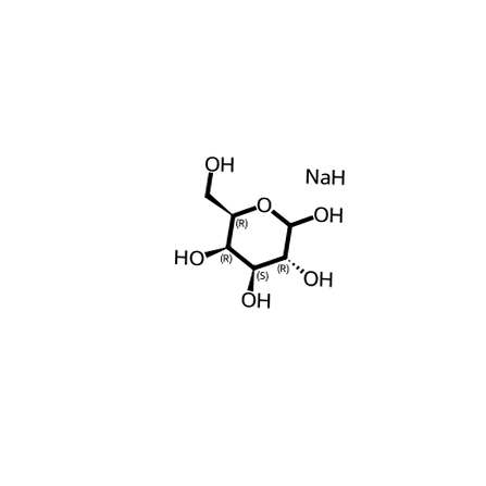 OC[C@H]1OC(O)[C@H](O)[C@@H](O)[C@H]1O.[NaH]